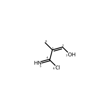 C/C(=C/O)C(=N)Cl